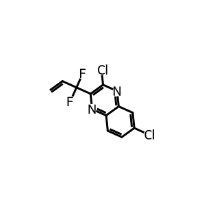 C=CC(F)(F)c1nc2ccc(Cl)cc2nc1Cl